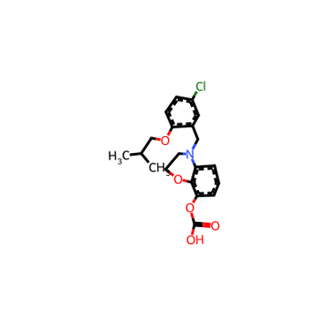 CC(C)COc1ccc(Cl)cc1CN1CCOc2c(OC(=O)O)cccc21